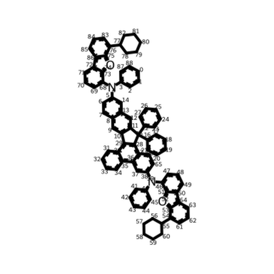 c1ccc(N(c2ccc3cc4c(cc3c2)C(c2ccccc2)(c2ccccc2)c2c-4c3ccccc3c3cc(N(c4ccccc4)c4cccc5c4oc4c(C6CCCCC6)cccc45)ccc23)c2cccc3c2oc2c(C4CCCCC4)cccc23)cc1